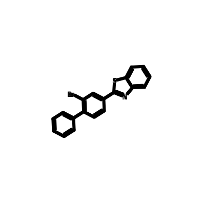 Brc1cc(-c2nc3ccccc3s2)ccc1-c1ccccc1